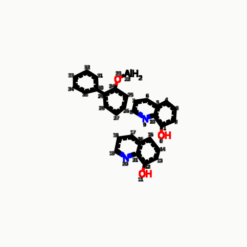 Oc1cccc2cccnc12.Oc1cccc2cccnc12.[AlH2][O]c1ccccc1-c1ccccc1